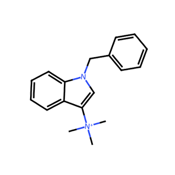 C[N+](C)(C)c1cn(Cc2ccccc2)c2ccccc12